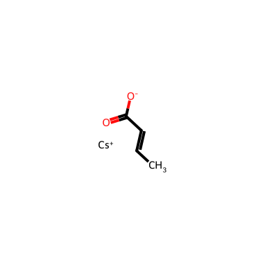 CC=CC(=O)[O-].[Cs+]